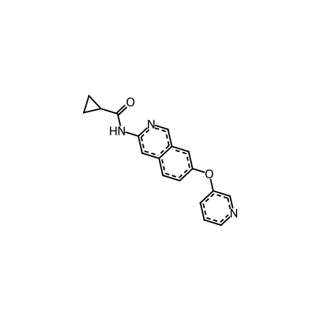 O=C(Nc1cc2ccc(Oc3cccnc3)cc2cn1)C1CC1